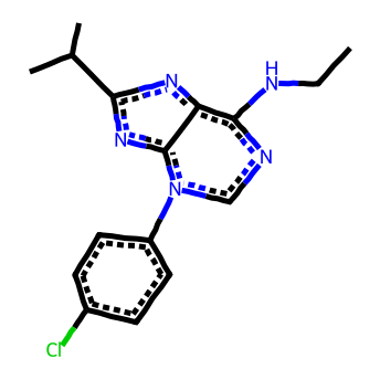 CCNc1ncn(-c2ccc(Cl)cc2)c2nc(C(C)C)nc1-2